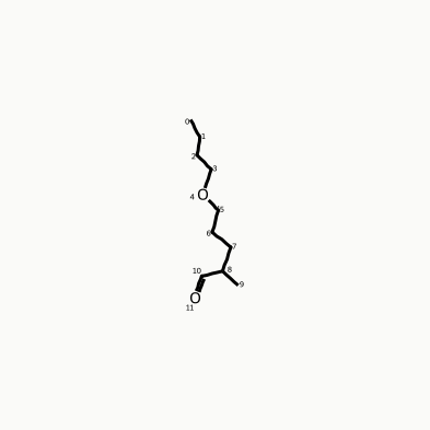 CCCCO[CH]CCC(C)C=O